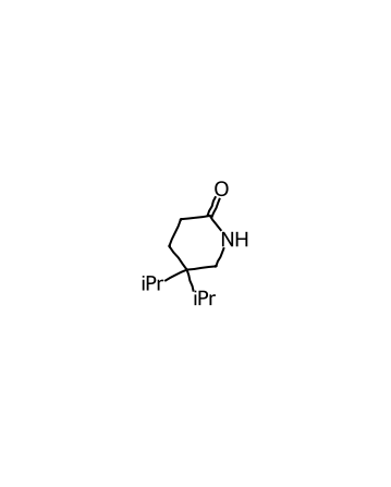 CC(C)C1(C(C)C)CCC(=O)NC1